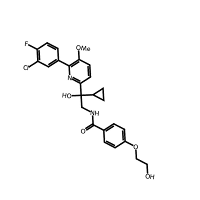 COc1ccc(C(O)(CNC(=O)c2ccc(OCCO)cc2)C2CC2)nc1-c1ccc(F)c(Cl)c1